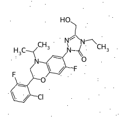 CCn1c(CO)nn(-c2cc3c(cc2F)OC(c2c(F)cccc2Cl)CN3C(C)C)c1=O